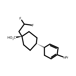 CCCC1=CCC([C@H]2CC[C@](CC(F)F)(C(=O)O)CC2)C=C1